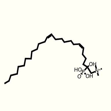 CCCCCCCCCCCC/C=C\CCCCC/C=C\CCCC(O)(C[N+](C)(C)C)P(=O)(O)O